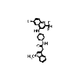 Cn1cc(CC(=O)N[C@H]2CC[C@@H](Nc3cc(C(F)(F)F)nc4ccc(Cl)cc34)CC2)c2ccccc21